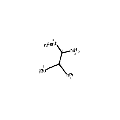 CCCCCC(N)C(CCC)C(C)CC